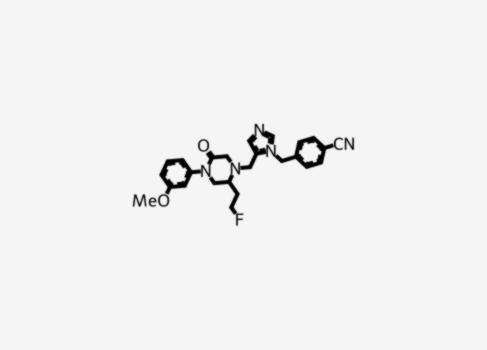 COc1cccc(N2CC(CCF)N(Cc3cncn3Cc3ccc(C#N)cc3)CC2=O)c1